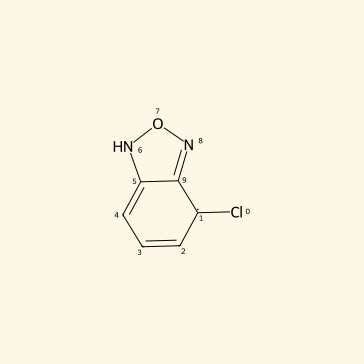 Cl[C]1C=CC=C2NON=C12